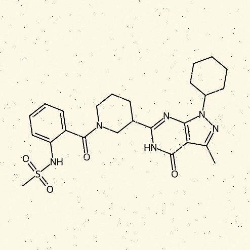 Cc1nn(C2CCCCC2)c2nc(C3CCCN(C(=O)c4ccccc4NS(C)(=O)=O)C3)[nH]c(=O)c12